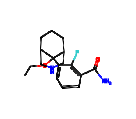 CCOC1(c2cccc(C(N)=O)c2F)C2CCCC1CNC2